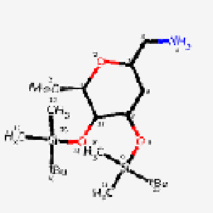 CO[C@H]1OC(CN)CC(O[Si](C)(C)C(C)(C)C)C1O[Si](C)(C)C(C)(C)C